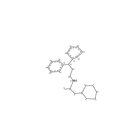 CC(CC1CCCCC1)NCCC(c1ccccc1)c1ccccc1